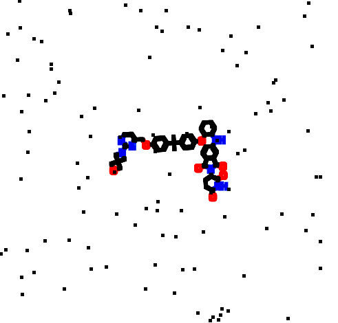 CC(C)(c1ccc(OCc2ccnc(N3CC4(COC4)C3)n2)cc1)c1ccc(OC2CCCCC2Nc2ccc3c(c2)C(=O)N(C2CCC(=O)NC2=O)C3=O)cc1